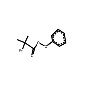 CCC(C)(C)C(=O)OOc1ccccc1